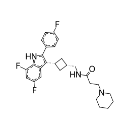 O=C(CCN1CCCCC1)NC[C@H]1C[C@@H](c2c(-c3ccc(F)cc3)[nH]c3c(F)cc(F)cc32)C1